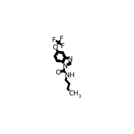 CCCCNC(=O)n1cnc2cc(OC(F)(F)F)ccc21